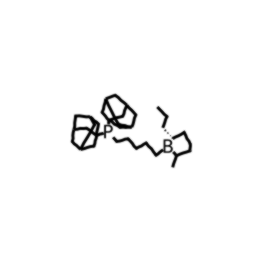 CCC[C@@H]1CCCC(C)B1CCCCCP(C12CC3CC(CC(C3)C1)C2)C12CC3CC(CC(C3)C1)C2